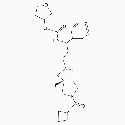 O=C(NC(CCN1CC2CN(C(=O)C3CCC3)C[C@@H]2C1)c1ccccc1)OC1CCOC1